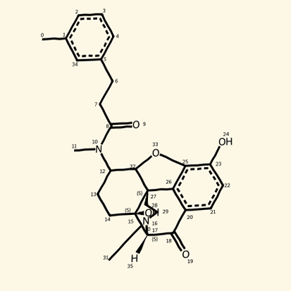 Cc1cccc(CCC(=O)N(C)C2CC[C@@]3(O)[C@H]4C(=O)c5ccc(O)c6c5[C@@]3(CCN4C)C2O6)c1